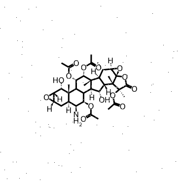 CC(=O)O[C@@H]1C2C([C@H](OC(C)=O)[C@H](OC(C)=O)[C@]3(C)[C@H]4[C@H](C)[C@H]5O[C@]56OC(=O)[C@@](C)(OC(C)=O)[C@]6(C)[C@@H]4[C@H](O)[C@@H]23)[C@]2(C)[C@H](C[C@@H]3O[C@@H]3[C@@H]2O)[C@@H]1N